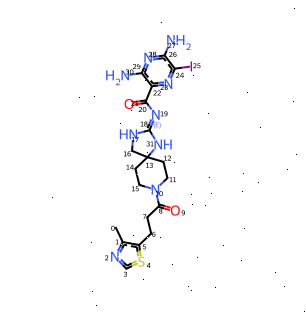 Cc1ncsc1CCC(=O)N1CCC2(CC1)CN/C(=N\C(=O)c1nc(I)c(N)nc1N)N2